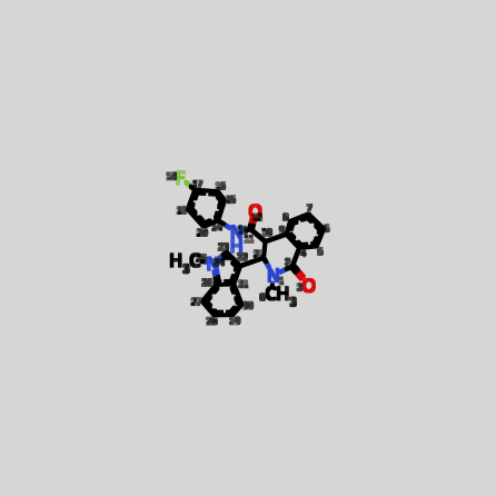 CN1C(=O)c2ccccc2C(C(=O)Nc2ccc(F)cc2)C1c1cn(C)c2ccccc12